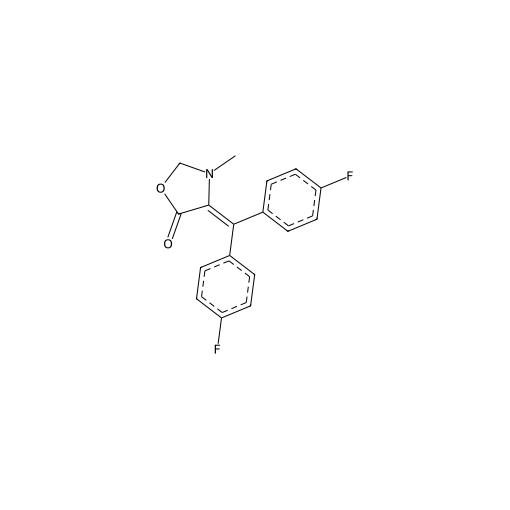 CN1COC(=O)C1=C(c1ccc(F)cc1)c1ccc(F)cc1